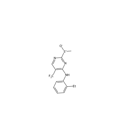 CCc1ccccc1Nc1nc([S+](C)[O-])ncc1C(F)(F)F